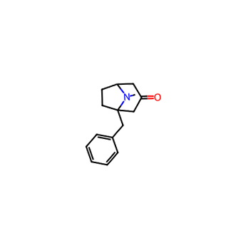 CN1C2CCC1(Cc1ccccc1)CC(=O)C2